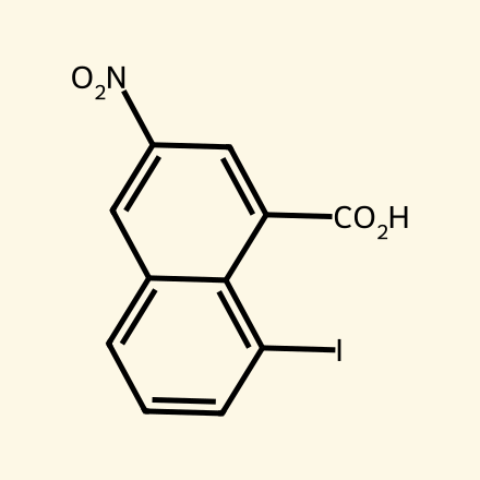 O=C(O)c1cc([N+](=O)[O-])cc2cccc(I)c12